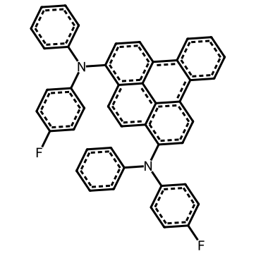 Fc1ccc(N(c2ccccc2)c2ccc3c4ccccc4c4ccc(N(c5ccccc5)c5ccc(F)cc5)c5ccc2c3c54)cc1